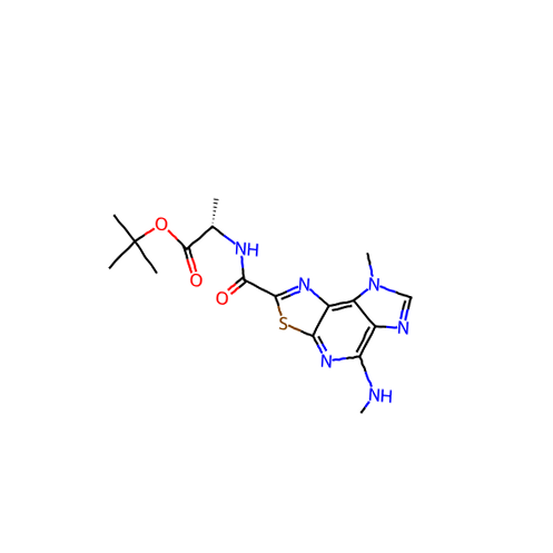 CNc1nc2sc(C(=O)N[C@@H](C)C(=O)OC(C)(C)C)nc2c2c1ncn2C